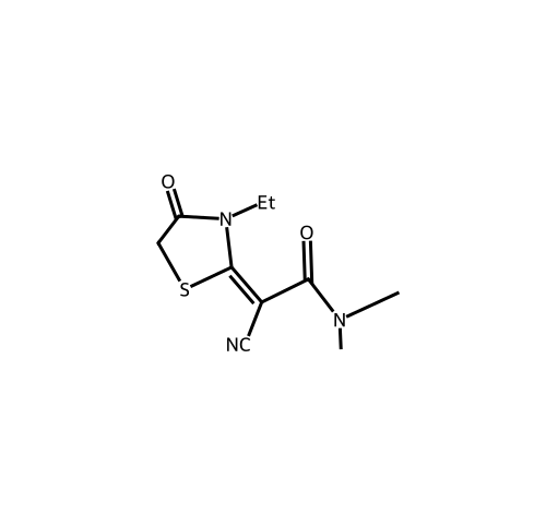 CCN1C(=O)CSC1=C(C#N)C(=O)N(C)C